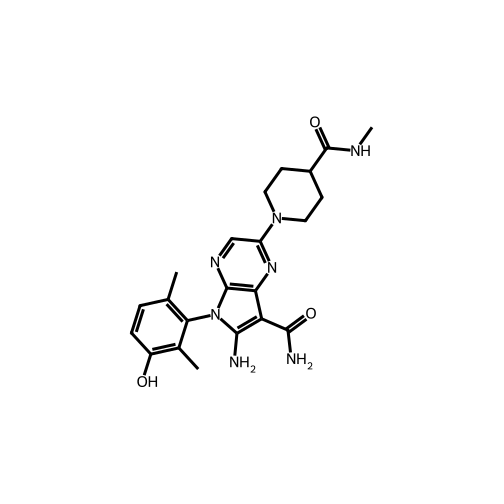 CNC(=O)C1CCN(c2cnc3c(n2)c(C(N)=O)c(N)n3-c2c(C)ccc(O)c2C)CC1